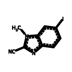 Cn1c(C#N)nc2ccc(I)cc21